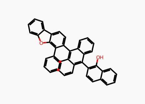 Oc1c(-c2c3ccccc3c(-c3ccc4c(oc5ccccc54)c3-c3ccccc3)c3ccccc23)ccc2ccccc12